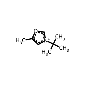 Cc1c[n+](C(C)(C)C)co1